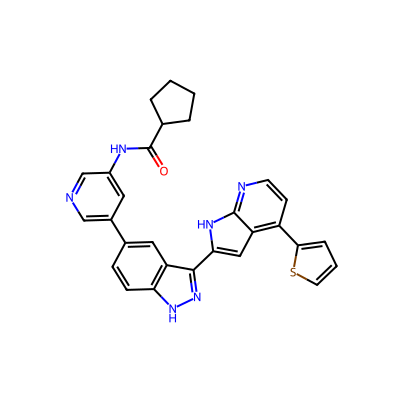 O=C(Nc1cncc(-c2ccc3[nH]nc(-c4cc5c(-c6cccs6)ccnc5[nH]4)c3c2)c1)C1CCCC1